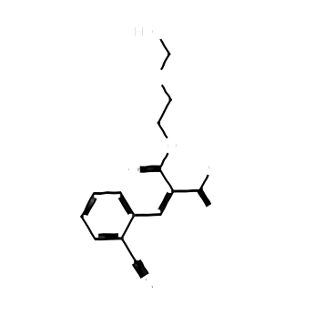 CCSCCOC(=O)/C(=C\c1ccccc1C#N)C(C)=O